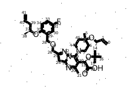 C=CCOC1(C)CCN(C2=C([C@H](OC(C)(C)C)C(=O)O)C(C)=NC3CC(COCc4cc(F)ccc4O[C@@H](C)CC=C)=NN23)CC1